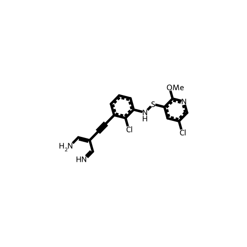 COc1ncc(Cl)cc1SNc1cccc(C#C/C(C=N)=C/N)c1Cl